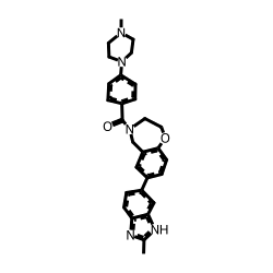 Cc1nc2ccc(-c3ccc4c(c3)CN(C(=O)c3ccc(N5CCN(C)CC5)cc3)CCO4)cc2[nH]1